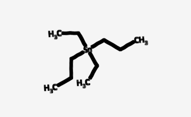 CC[CH2][Sn]([CH2]C)([CH2]C)[CH2]CC